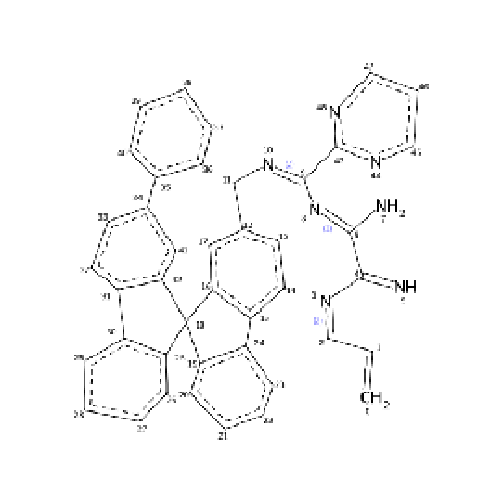 C=C/C=N\C(=N)/C(N)=N/C(=N\Cc1ccc2c(c1)C1(c3ccccc3-2)c2ccccc2-c2ccc(-c3ccccc3)cc21)c1ncccn1